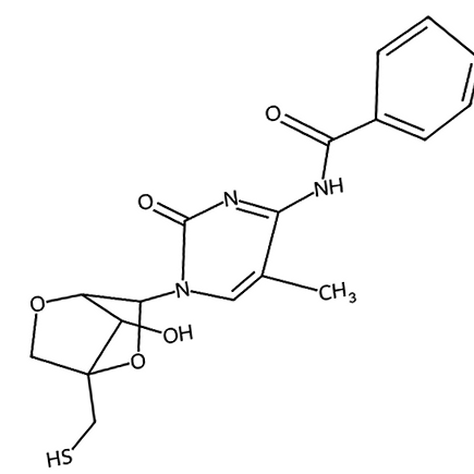 Cc1cn(C2OC3(CS)COC2C3O)c(=O)nc1NC(=O)c1ccccc1